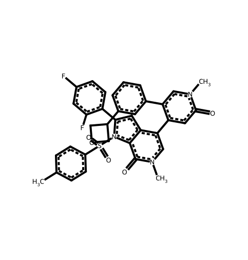 Cc1ccc(S(=O)(=O)n2c(-c3ccc(F)cc3F)cc3c(-c4cc(=O)n(C)cc4-c4cccc(C5COC5)c4)cn(C)c(=O)c32)cc1